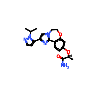 CC(C)n1nccc1-c1cn2c(n1)-c1ccc(O[C@@H](C)C(N)=O)cc1OCC2